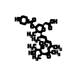 CO[C@H]([C@@H](C)[C@H]1O[C@]1(C)CC(C)/C=C/C=C(\C)[C@H]1O[C@@H](CC(=O)O)C[C@@H](OC(=O)N2CCNCC2)[C@@H]1C)[C@@H](C)O